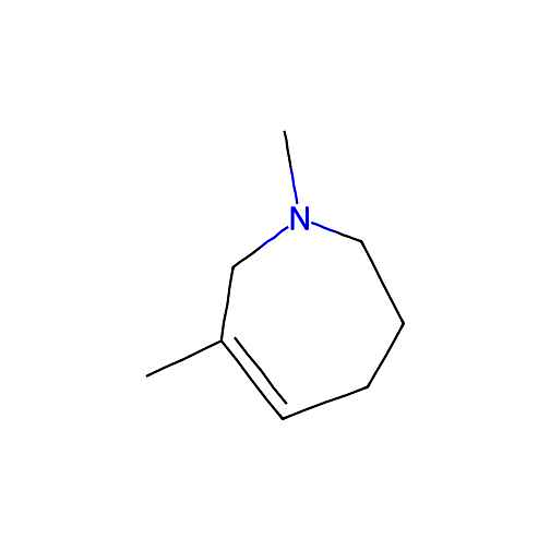 CC1=CCCCN(C)C1